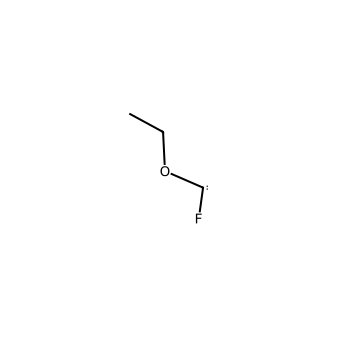 CCO[C]F